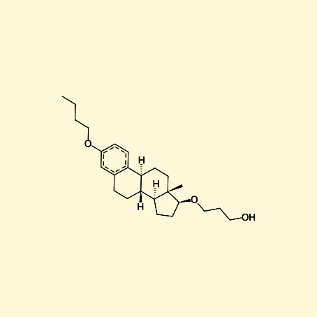 CCCCOc1ccc2c(c1)CC[C@@H]1[C@@H]2CC[C@]2(C)[C@@H](OCCCO)CC[C@@H]12